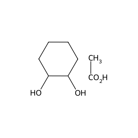 CC(=O)O.OC1CCCCC1O